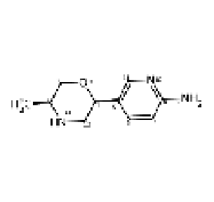 C[C@H]1CO[C@@H](c2ccc(N)nc2)CN1